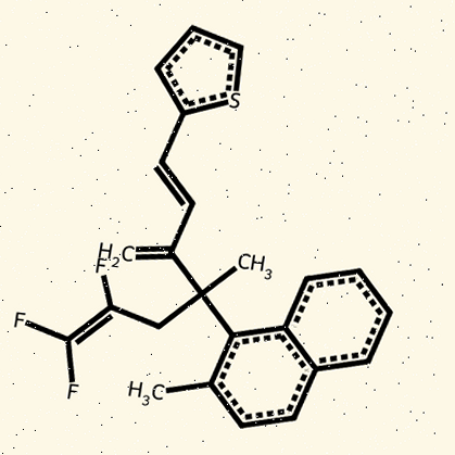 C=C(/C=C/c1cccs1)C(C)(CC(F)=C(F)F)c1c(C)ccc2ccccc12